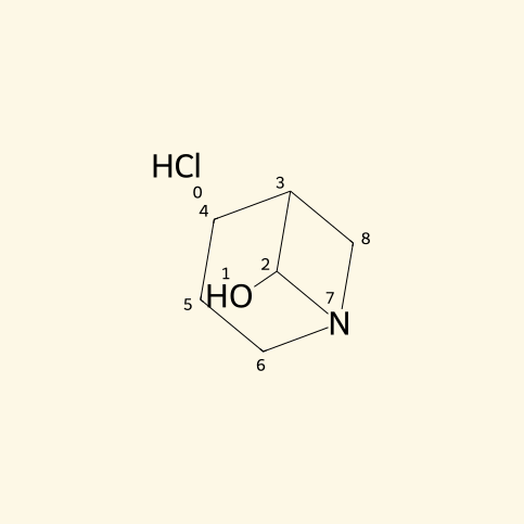 Cl.OC1C2CCCN1C2